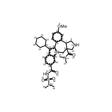 COc1ccc2c(c1)C1CNCC1(C(=O)N(C)C)Cn1c-2c(C2CCCCC2)c2ccc(C(=O)NS(=O)(=O)N(C)C)cc21